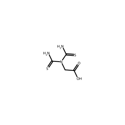 NC(=S)N(CC(=O)O)C(N)=S